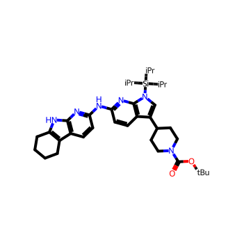 CC(C)[Si](C(C)C)(C(C)C)n1cc(C2CCN(C(=O)OC(C)(C)C)CC2)c2ccc(Nc3ccc4c5c([nH]c4n3)CCCC5)nc21